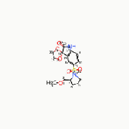 COC[C@@H]1CCCN1S(=O)(=O)c1ccc2c(c1)C1(OCCO1)C(=O)N2